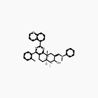 C[C@H]1C(O)/C(=C\N(C)c2ccccc2)C[C@@]2(C)c3nc(-c4cccc5ncccc45)nc(-c4ccccc4F)c3CC[C@H]12